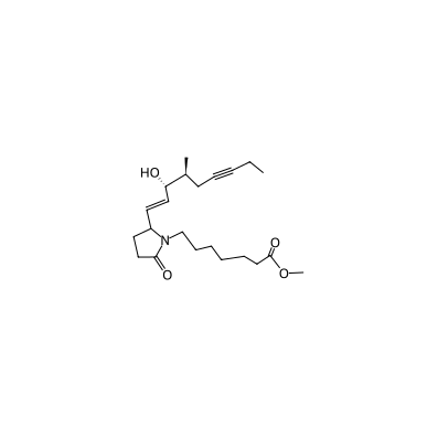 CCC#CC[C@H](C)[C@@H](O)C=CC1CCC(=O)N1CCCCCCC(=O)OC